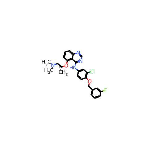 C[C@H](CN(C)C)Oc1cccc2ncnc(Nc3ccc(OCc4cccc(F)c4)c(Cl)c3)c12